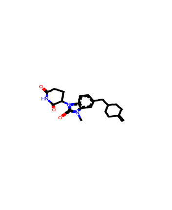 C=C1CCC(Cc2ccc3c(c2)n(C)c(=O)n3C2CCC(=O)NC2=O)CC1